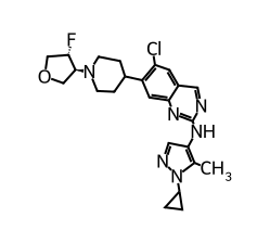 Cc1c(Nc2ncc3cc(Cl)c(C4CCN([C@H]5COC[C@@H]5F)CC4)cc3n2)cnn1C1CC1